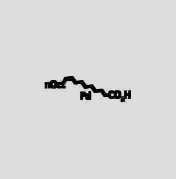 CCCCCCCC/C=C\CCCCCCCC(=O)O.[Pd]